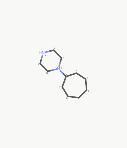 C1CCC[C](N2CCNCC2)CC1